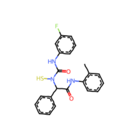 Cc1ccccc1NC(=O)C(c1ccccc1)N(S)C(=O)Nc1cccc(F)c1